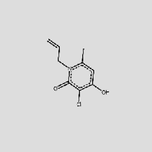 C=CCn1c(C)cc(O)c(Cl)c1=O